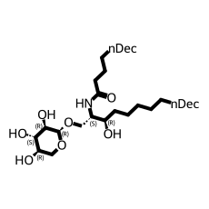 CCCCCCCCCCCCCCC[C@@H](O)[C@H](CO[C@@H]1OC[C@@H](O)[C@H](O)[C@H]1O)NC(=O)CCCCCCCCCCCCC